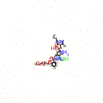 CCCCNC(=O)C(CC(O)C(N)CC(CNC(=O)c1ccccc1OCCOCCOC)C(C)C)C(C)C.Cl